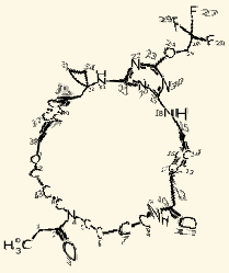 CCC(=O)N1CCCCNC(=O)c2ccc(cc2)Nc2nc(nc(OCC(F)(F)F)n2)NC2(CC2)c2ccc(cc2)OCCC1